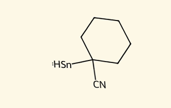 N#C[C]1([SnH])CCCCC1